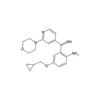 N=C(c1ccnc(N2CCOCC2)c1)c1cc(OCC2CC2)ccc1N